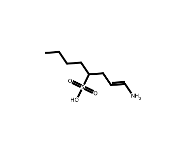 CCCCC(CC=CN)S(=O)(=O)O